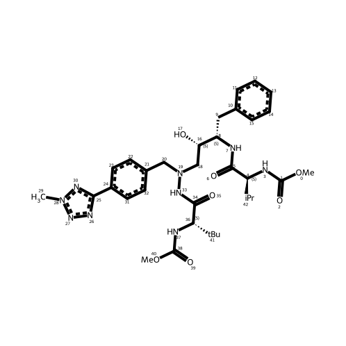 COC(=O)N[C@H](C(=O)N[C@@H](Cc1ccccc1)[C@@H](O)CN(Cc1ccc(-c2nnn(C)n2)cc1)NC(=O)[C@@H](NC(=O)OC)C(C)(C)C)C(C)C